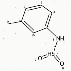 Cc1cccc(N[SH](=O)=O)c1